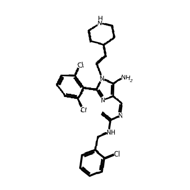 C=C(/N=C\c1nc(-c2c(Cl)cccc2Cl)n(CCC2CCNCC2)c1N)NCc1ccccc1Cl